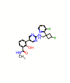 CNC(=O)c1cccc(-c2cnc(NCC3(c4ncccc4F)CC(F)C3)nc2)c1O